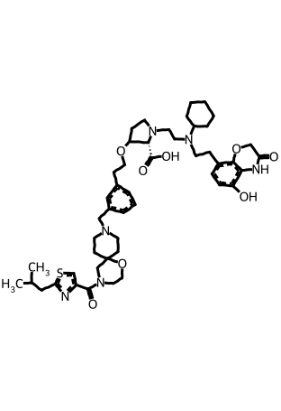 CC(C)Cc1nc(C(=O)N2CCOC3(CCN(Cc4cccc(CCOC5CCN(CCN(CCc6ccc(O)c7c6OCC(=O)N7)C6CCCCC6)[C@@H]5C(=O)O)c4)CC3)C2)cs1